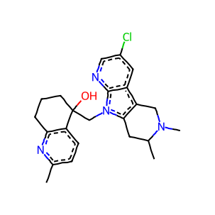 Cc1ccc2c(n1)CCCC2(O)Cn1c2c(c3cc(Cl)cnc31)CN(C)C(C)C2